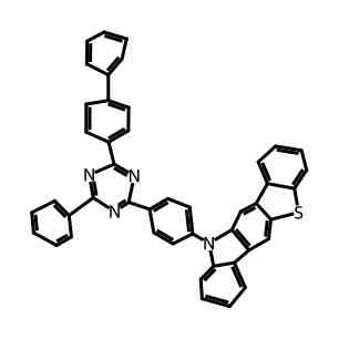 c1ccc(-c2ccc(-c3nc(-c4ccccc4)nc(-c4ccc(-n5c6ccccc6c6cc7sc8ccccc8c7cc65)cc4)n3)cc2)cc1